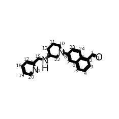 O=Cc1cccc2cc(N3CCCC(NCc4ccccn4)C3)ccc12